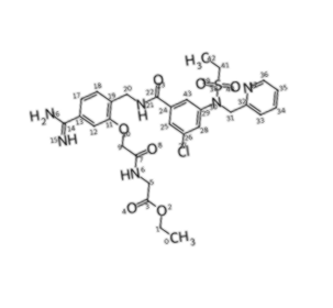 CCOC(=O)CNC(=O)COc1cc(C(=N)N)ccc1CNC(=O)c1cc(Cl)cc(N(Cc2ccccn2)S(=O)(=O)CC)c1